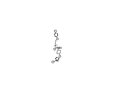 CC(C)(CCCOc1ccc(Cl)cc1)C(=O)NC1CCC(Oc2ccc(Cl)nc2)CC1